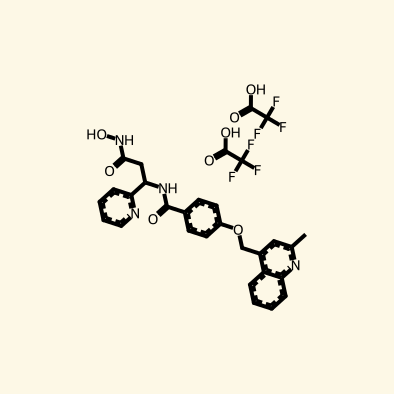 Cc1cc(COc2ccc(C(=O)NC(CC(=O)NO)c3ccccn3)cc2)c2ccccc2n1.O=C(O)C(F)(F)F.O=C(O)C(F)(F)F